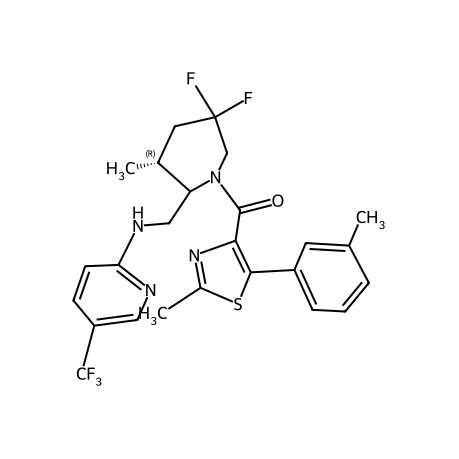 Cc1cccc(-c2sc(C)nc2C(=O)N2CC(F)(F)C[C@@H](C)C2CNc2ccc(C(F)(F)F)cn2)c1